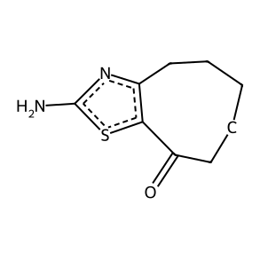 Nc1nc2c(s1)C(=O)CCCCC2